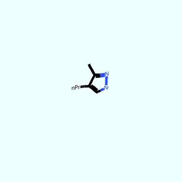 CCCC1=C[N]N=C1C